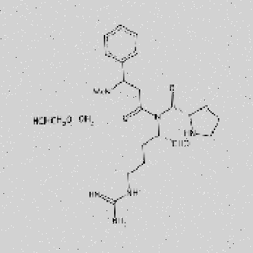 CNC(CC(=O)N(C(=O)[C@@H]1CCCN1)[C@H](C=O)CCCNC(=N)N)c1ccccc1.Cl.Cl.O.O